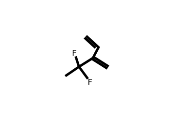 C=CC(=C)C(C)(F)F